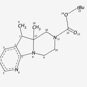 CC1c2cccnc2N2CCN(C(=O)OC(C)(C)C)CC12C